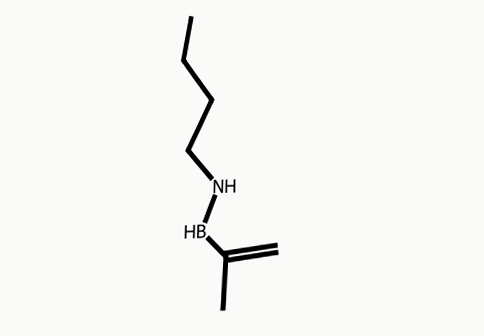 C=C(C)BNCCCC